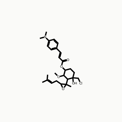 COC1C(OC(=O)C=Cc2ccc(N(C)C)cc2)CCC(O)(CCl)C1C1(C)OC1CC=C(C)C